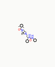 Cc1cccc(C)c1C(=O)N1CC2CN(CCC(NC(=O)Nc3ccccc3)c3ccccc3)C[C@H]2C1